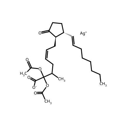 CCCCCC/C=C/[C@H]1CCC(=O)[C@@H]1C/C=C\CC(C)C(OC(C)=O)(OC(C)=O)C(=O)[O-].[Ag+]